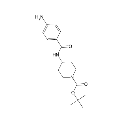 CC(C)(C)OC(=O)N1CCC(NC(=O)c2ccc(N)cc2)CC1